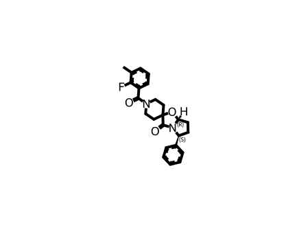 Cc1cccc(C(=O)N2CCC3(CC2)O[C@@H]2CC[C@@H](c4ccccc4)N2C3=O)c1F